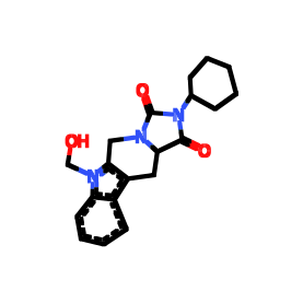 O=C1C2Cc3c(n(CO)c4ccccc34)CN2C(=O)N1C1CCCCC1